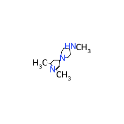 CNC1CCN(c2cc(C)nc(C)c2)CC1